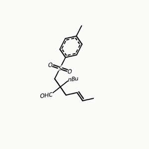 CC=CCC(C=O)(CCCC)CS(=O)(=O)c1ccc(C)cc1